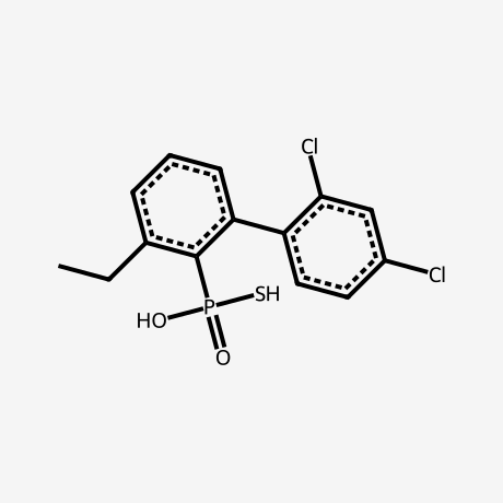 CCc1cccc(-c2ccc(Cl)cc2Cl)c1P(=O)(O)S